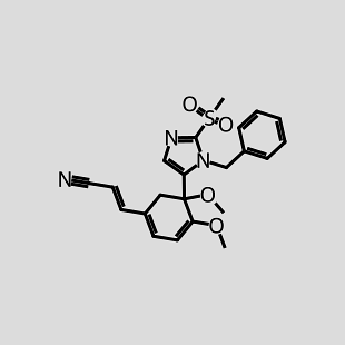 COC1=CC=C(C=CC#N)CC1(OC)c1cnc(S(C)(=O)=O)n1Cc1ccccc1